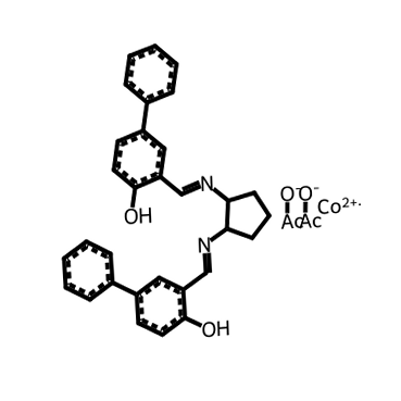 CC(=O)[O-].CC(=O)[O-].Oc1ccc(-c2ccccc2)cc1C=NC1CCCC1N=Cc1cc(-c2ccccc2)ccc1O.[Co+2]